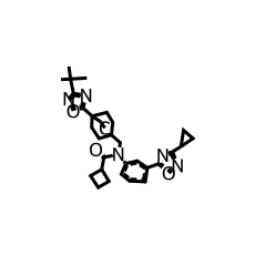 CC(C)(C)c1noc(C23CCC(CN(C(=O)C4CCC4)c4cccc(-c5nc(C6CC6)no5)c4)(CC2)CC3)n1